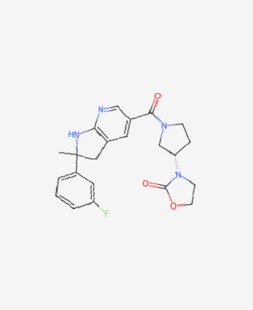 CC1(c2cccc(F)c2)Cc2cc(C(=O)N3CC[C@H](N4CCOC4=O)C3)cnc2N1